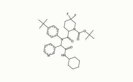 CC(C)(C)OC(=O)N1CC(F)(F)CCC1C(=O)N(c1ccc(C(C)(C)C)cc1)C(C(=O)NC1CCCCC1)c1cccnc1